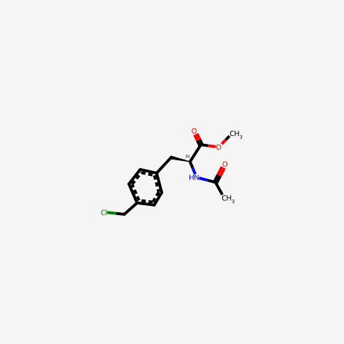 COC(=O)[C@H](Cc1ccc(CCl)cc1)NC(C)=O